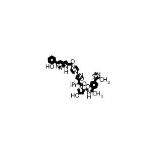 Cc1ncsc1-c1ccc([C@H](C)NC(=O)[C@@H]2C[C@@H](O)CN2C(=O)[C@H](c2cc(N3CCN(C(=O)c4cc5cc(-c6ccccc6O)nnc5[nH]4)CC3)no2)C(C)C)cc1